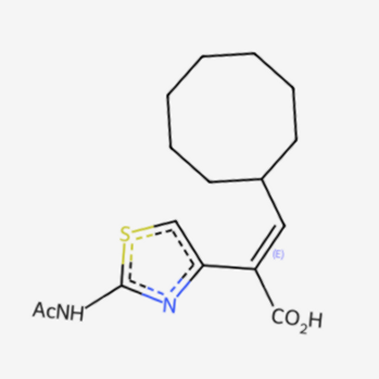 CC(=O)Nc1nc(/C(=C\C2CCCCCCC2)C(=O)O)cs1